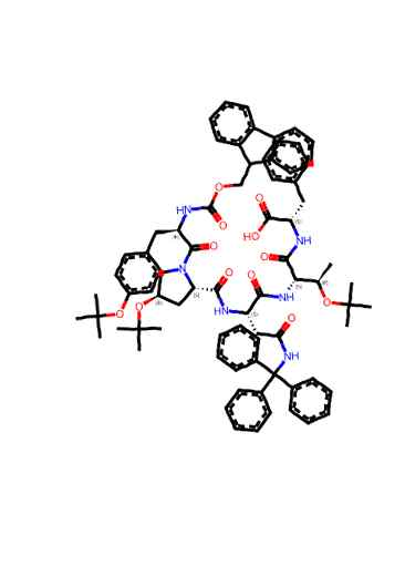 C[C@@H](OC(C)(C)C)[C@H](NC(=O)[C@H](CC(=O)NC(c1ccccc1)(c1ccccc1)c1ccccc1)NC(=O)[C@@H]1C[C@@H](OC(C)(C)C)CN1C(=O)[C@@H](Cc1ccc(OC(C)(C)C)cc1)NC(=O)OCC1c2ccccc2-c2ccccc21)C(=O)N[C@@H](Cc1ccccc1)C(=O)O